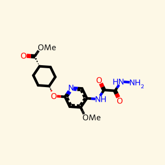 COc1cc(O[C@H]2CC[C@@H](C(=O)OC)CC2)ncc1NC(=O)C(=O)NN